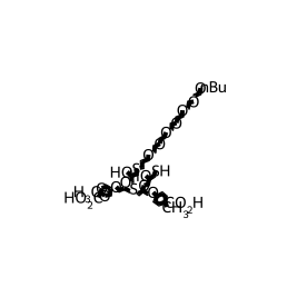 CCCCOCCOCCOCCOCCOCCOCCOCCCSCC(O)COC(COC1COC(C)(C(=O)O)OC1)CSCC(COC1CCC(C)(C(=O)O)CC1)OCC(O)CS